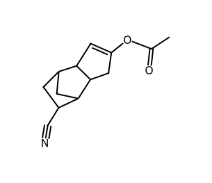 CC(=O)OC1=CC2C3CC(C#N)C(C3)C2C1